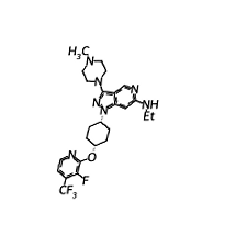 CCNc1cc2c(cn1)c(N1CCN(C)CC1)nn2[C@H]1CC[C@@H](Oc2nccc(C(F)(F)F)c2F)CC1